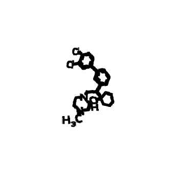 CN1CCN(CC(c2cccc(-c3ccc(Cl)c(Cl)c3)c2)C2(O)CCCCC2)CC1